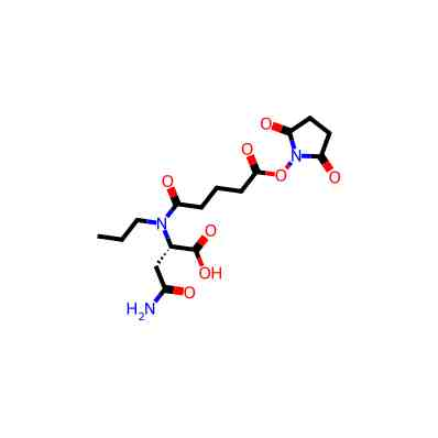 CCCN(C(=O)CCCC(=O)ON1C(=O)CCC1=O)[C@@H](CC(N)=O)C(=O)O